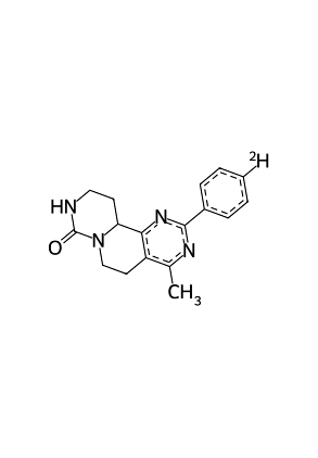 [2H]c1ccc(-c2nc(C)c3c(n2)C2CCNC(=O)N2CC3)cc1